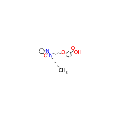 CCCCCCCN(CCCCOc1cccc(C(=O)O)c1)c1nc2ccccc2o1